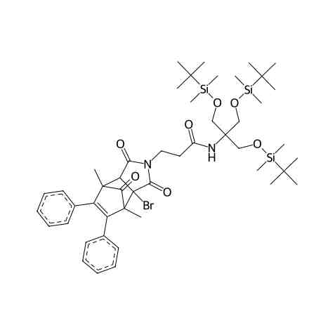 CC12C(=O)C(C)(C(c3ccccc3)=C1c1ccccc1)C1(Br)C(=O)N(CCC(=O)NC(CO[Si](C)(C)C(C)(C)C)(CO[Si](C)(C)C(C)(C)C)CO[Si](C)(C)C(C)(C)C)C(=O)C21